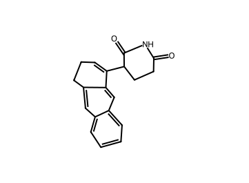 O=C1CCC(C2=CCCc3cc4ccccc4cc32)C(=O)N1